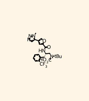 Cn1nncc1-c1coc(C(=O)N[C@@H](Cc2ccccc2C(F)(F)F)CN(C(=O)O)C(C)(C)C)c1